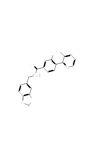 O=C(NCc1ccc2c(c1)OCO2)c1ccc(-c2ncccc2Cl)c(F)c1